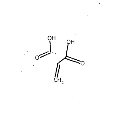 C=CC(=O)O.O=[C]O